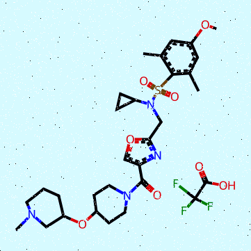 COc1cc(C)c(S(=O)(=O)N(Cc2nc(C(=O)N3CCC(OC4CCCN(C)C4)CC3)co2)C2CC2)c(C)c1.O=C(O)C(F)(F)F